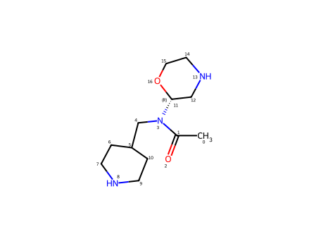 CC(=O)N(CC1CCNCC1)[C@H]1CNCCO1